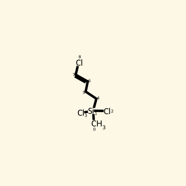 C[Si](Cl)(Cl)CCC=CCl